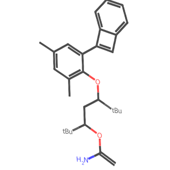 C=C(N)OC(CC(Oc1c(C)cc(C)cc1C1=Cc2ccccc21)C(C)(C)C)C(C)(C)C